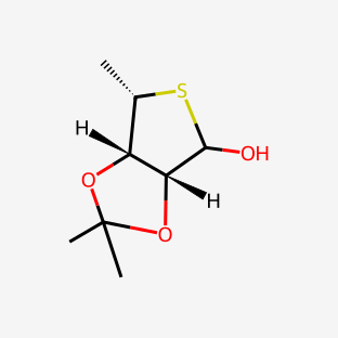 C[C@@H]1SC(O)[C@@H]2OC(C)(C)O[C@H]12